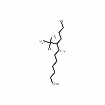 Br.CCCCCCCCCCCCCCCCC(CCCCl)C(C)(C)N